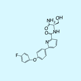 NC(=O)[C@@H](CO)NC(=O)c1cccc(-c2ccc(Oc3ccc(F)cc3)cc2)n1